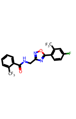 O=C(NCc1noc(-c2ccc(F)cc2C(F)(F)F)n1)c1ccccc1C(F)(F)F